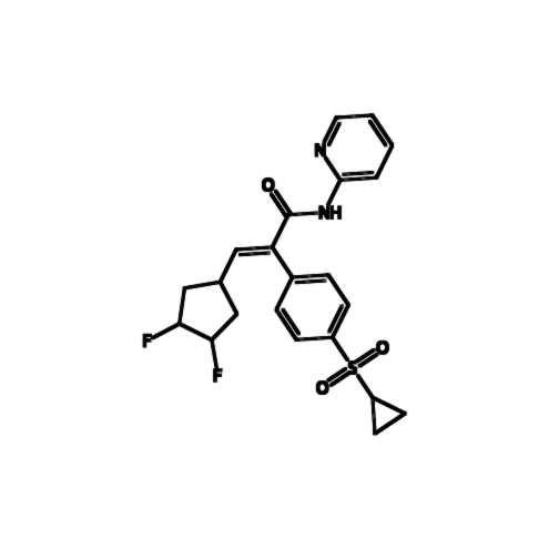 O=C(Nc1ccccn1)/C(=C/C1CC(F)C(F)C1)c1ccc(S(=O)(=O)C2CC2)cc1